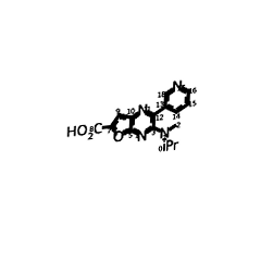 CC(C)N(C)c1nc2oc(C(=O)O)cc2nc1-c1cccnc1